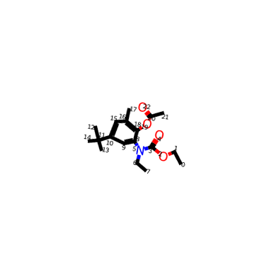 CCOC(=O)N(CC)c1cc(C(C)(C)C)cc(C)c1OC(C)=O